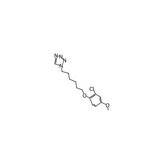 COc1ccc(OCCCCCCn2cnnn2)c(Cl)c1